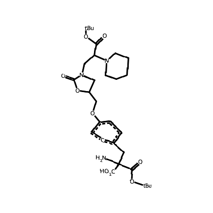 CC(C)(C)OC(=O)C(CN1CC(COc2ccc(CC(N)(C(=O)O)C(=O)OC(C)(C)C)cc2)OC1=O)N1CCCCC1